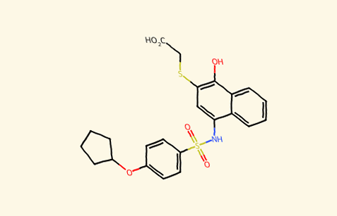 O=C(O)CSc1cc(NS(=O)(=O)c2ccc(OC3CCCC3)cc2)c2ccccc2c1O